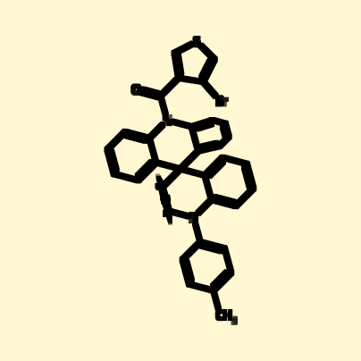 Cc1ccc(N2c3ccccc3C3(c4ccccc4N(C(=O)c4cscc4Br)c4ccccc43)c3ccccc32)cc1